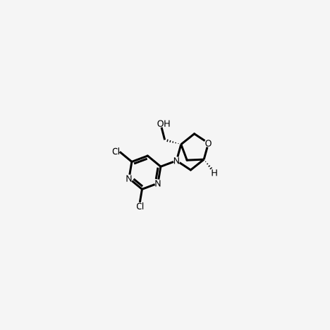 OC[C@@]12CO[C@@H](CN1c1cc(Cl)nc(Cl)n1)C2